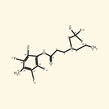 CCCN(CCC(=O)Oc1c(F)c(F)c(C)c(F)c1F)CC(F)(F)F